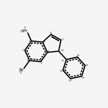 CCCc1cc(Br)cc2c1C=CC2c1ccccc1